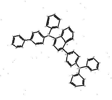 c1ccc(-c2ccc(N(c3ccccc3)c3ccc(-c4ccc(N(c5ccccc5)c5ccccc5)cc4)c4ccccc34)cc2)cc1